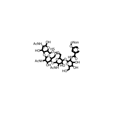 CCCCCCCCCOc1cccc(C(=O)NC2C(OC3C(CO)OC(OC4C(CO)OC(OC5C(COS)OC(O)[C@@H](NC(C)=O)C5O)C(NC(C)=O)C4O)C(NC(C)=O)C3O)OC(CO)C(O)C2O)c1